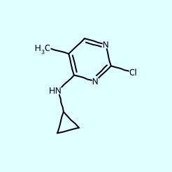 Cc1cnc(Cl)nc1NC1CC1